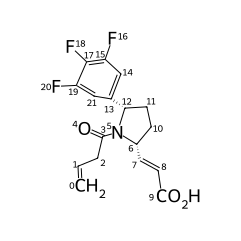 C=CCC(=O)N1[C@@H](C=CC(=O)O)CC[C@H]1c1cc(F)c(F)c(F)c1